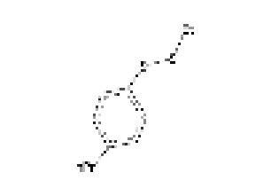 CCCc1ccc(SSCC)cc1